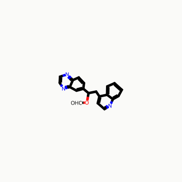 O=COC(Cc1ccnc2ccccc12)c1ccc2nccnc2c1